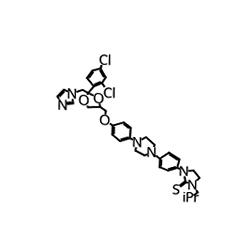 CC(C)CN1CCN(c2ccc(N3CCN(c4ccc(OCC5COC(Cn6ccnc6)(c6ccc(Cl)cc6Cl)O5)cc4)CC3)cc2)C1=S